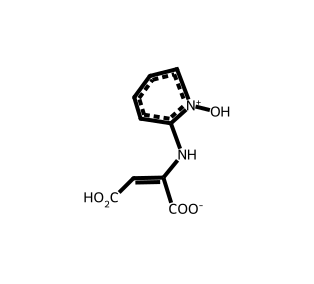 O=C(O)C=C(Nc1cccc[n+]1O)C(=O)[O-]